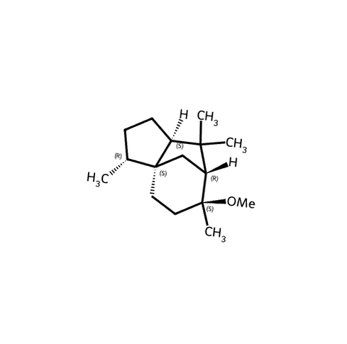 CO[C@@]1(C)CC[C@@]23C[C@@H]1C(C)(C)[C@@H]2CC[C@H]3C